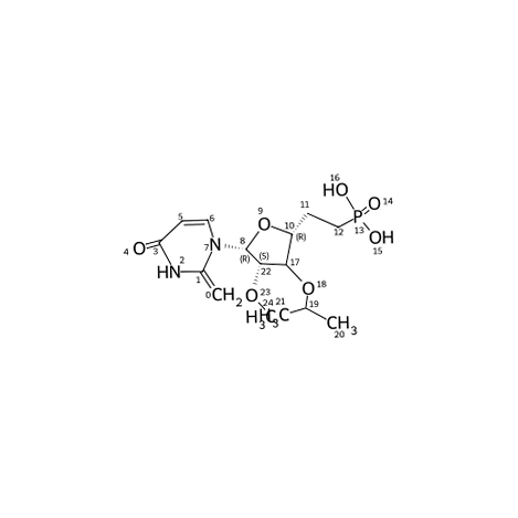 C=C1NC(=O)C=CN1[C@@H]1O[C@H](CCP(=O)(O)O)C(OC(C)C)[C@@H]1OC